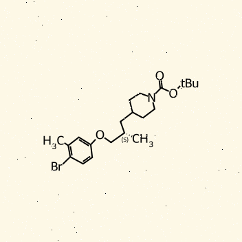 Cc1cc(OC[C@@H](C)CC2CCN(C(=O)OC(C)(C)C)CC2)ccc1Br